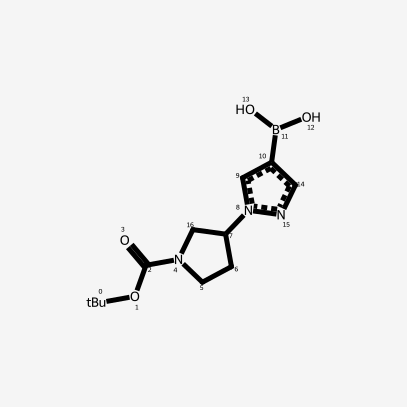 CC(C)(C)OC(=O)N1CCC(n2cc(B(O)O)cn2)C1